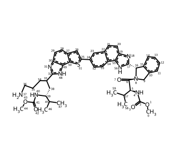 COC(=O)N[C@H](C(=O)N1Cc2ccccc2[C@H]1c1nc2ccc3cc(-c4cc5ccc6nc(C(CCCN)C[C@@H](NC(=O)OC)C(C)C)[nH]c6c5s4)ccc3c2[nH]1)C(C)C